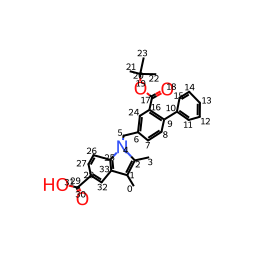 Cc1c(C)n(Cc2ccc(-c3ccccc3)c(C(=O)OC(C)(C)C)c2)c2ccc(C(=O)O)cc12